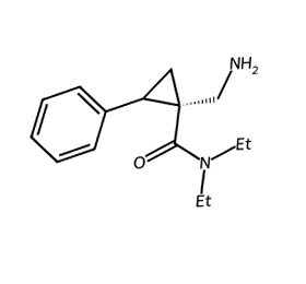 CCN(CC)C(=O)[C@]1(CN)CC1c1ccccc1